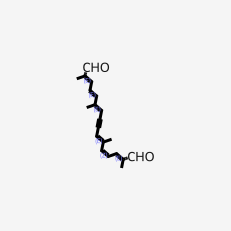 C\C(C=O)=C/C=C\C(C)=C\C#C/C=C(C)/C=C/C=C(\C)C=O